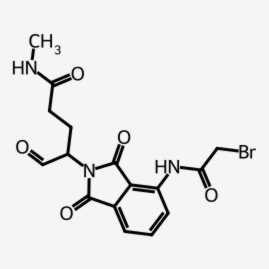 CNC(=O)CCC(C=O)N1C(=O)c2cccc(NC(=O)CBr)c2C1=O